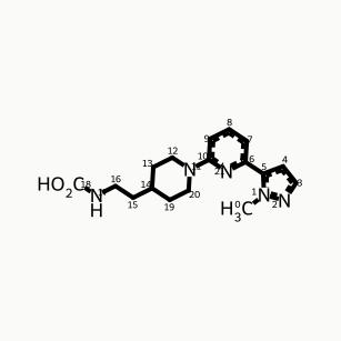 Cn1nccc1-c1cccc(N2CCC(CCNC(=O)O)CC2)n1